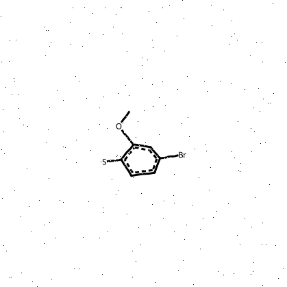 COc1cc(Br)ccc1[S]